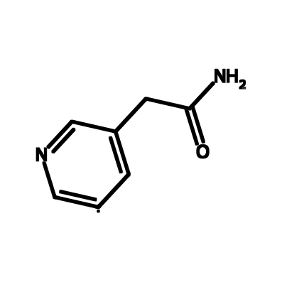 NC(=O)Cc1c[c]cnc1